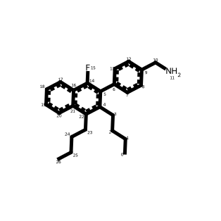 CCCCc1c(-c2ccc(CN)cc2)c(F)c2ccccc2c1CCCC